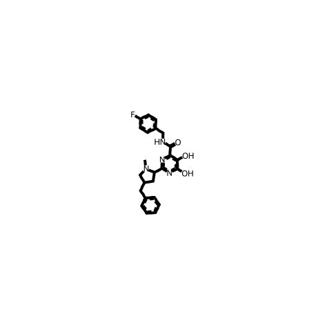 CN1CC(Cc2ccccc2)CC1c1nc(O)c(O)c(C(=O)NCc2ccc(F)cc2)n1